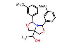 COc1cccc(C2OCC3(C(C)O)COC(c4cccc(OC)c4)N23)c1